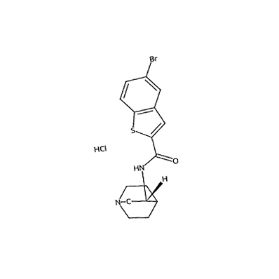 Cl.O=C(N[C@H]1CN2CCC1CC2)c1cc2cc(Br)ccc2s1